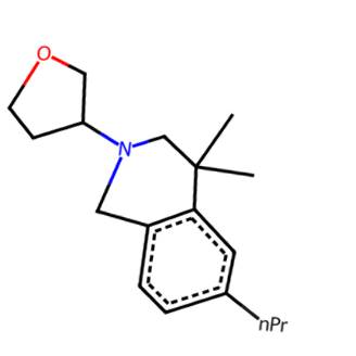 CCCc1ccc2c(c1)C(C)(C)CN(C1CCOC1)C2